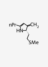 C=C1C=C(CCC)N[C@H]1CCSC